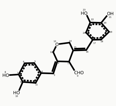 O=CC1C(=Cc2ccc(O)c(O)c2)COCC1=Cc1ccc(O)c(O)c1